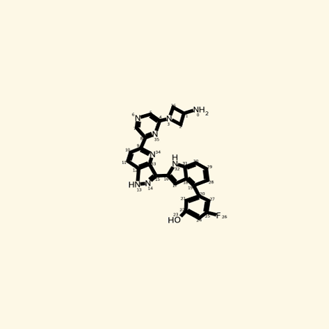 NC1CN(c2cncc(-c3ccc4[nH]nc(-c5cc6c(-c7cc(O)cc(F)c7)cccc6[nH]5)c4n3)n2)C1